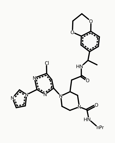 CCCNC(=O)N1CCN(c2cc(Cl)nc(-n3ccnc3)n2)C(CC(=O)NC(C)c2ccc3c(c2)OCCO3)C1